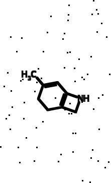 CC1=CC2=C(CC1)CN2